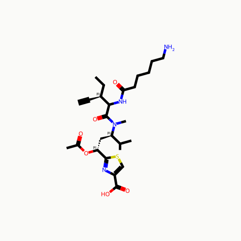 C#C[C@@H](CC)C(NC(=O)CCCCCN)C(=O)N(C)[C@H](C[C@@H](OC(C)=O)c1nc(C(=O)O)cs1)C(C)C